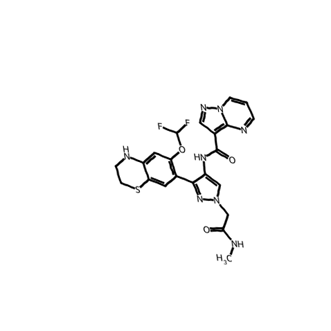 CNC(=O)Cn1cc(NC(=O)c2cnn3cccnc23)c(-c2cc3c(cc2OC(F)F)NCCS3)n1